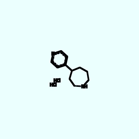 Cl.Cl.c1cc(C2CCCNCC2)ccn1